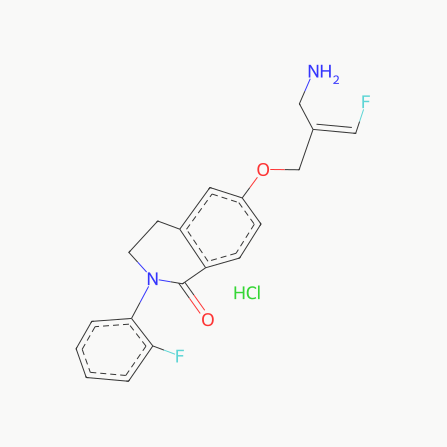 Cl.NC/C(=C\F)COc1ccc2c(c1)CCN(c1ccccc1F)C2=O